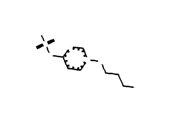 CCCCO[n+]1ccc(OS(=O)(=O)O)nc1